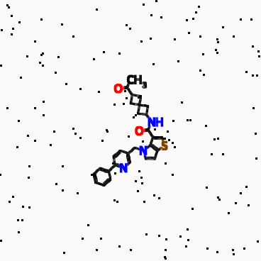 CC(=O)C1CC2(CC(NC(=O)c3csc4ccn(Cc5ccc(-c6ccccc6)nc5)c34)C2)C1